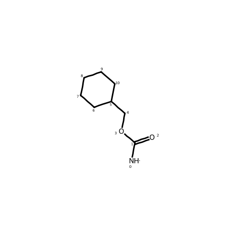 [NH]C(=O)OCC1CCCCC1